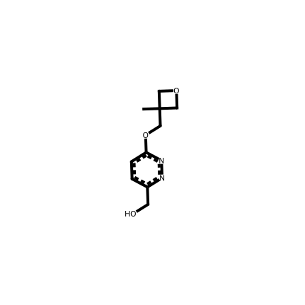 CC1(COc2ccc(CO)nn2)COC1